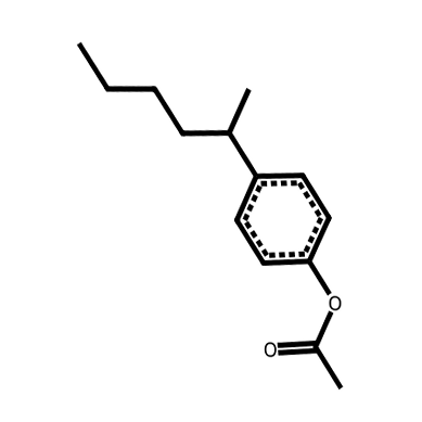 CCCCC(C)c1ccc(OC(C)=O)cc1